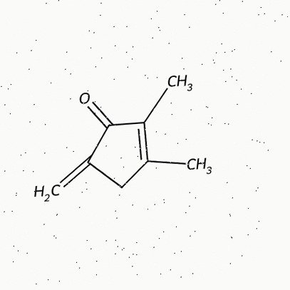 C=C1CC(C)=C(C)C1=O